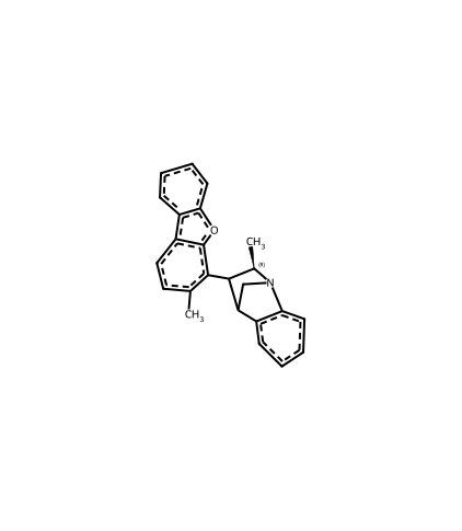 Cc1ccc2c(oc3ccccc32)c1C1C2CN(c3ccccc32)[C@@H]1C